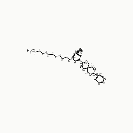 Br.CCCCCCCCCCCC[n+]1cccc(C2OCC3(COC(c4cccnc4)OC3)CO2)c1.[Br-]